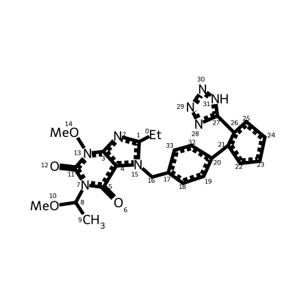 CCc1nc2c(c(=O)n(C(C)OC)c(=O)n2OC)n1Cc1ccc(-c2ccccc2-c2nnn[nH]2)cc1